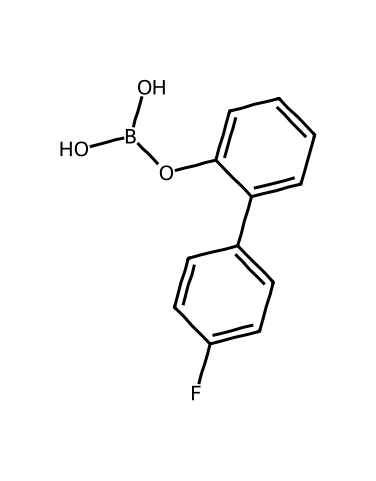 OB(O)Oc1ccccc1-c1ccc(F)cc1